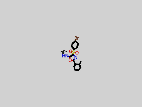 CCCNc1oc(-c2ccccc2C)nc1S(=O)(=O)c1ccc(Br)cc1